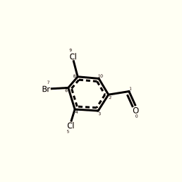 O=Cc1cc(Cl)c(Br)c(Cl)c1